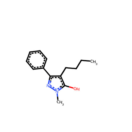 CCCCc1c(-c2ccccc2)nn(C)c1O